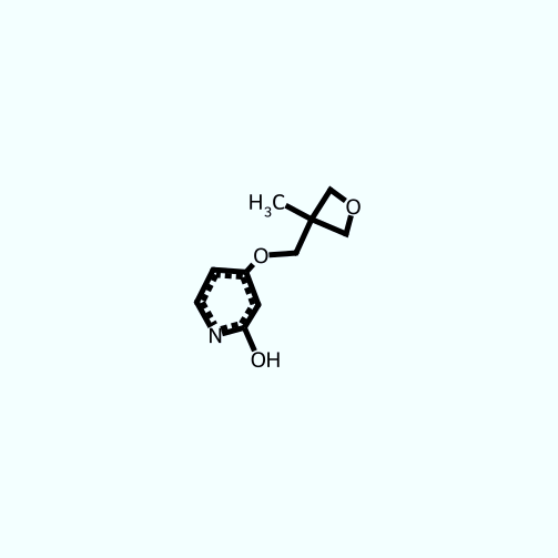 CC1(COc2ccnc(O)c2)COC1